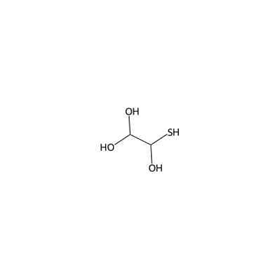 OC(O)C(O)S